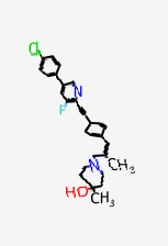 CC(=Cc1ccc(C#Cc2ncc(-c3ccc(Cl)cc3)cc2F)cc1)CN1CCC(C)(O)CC1